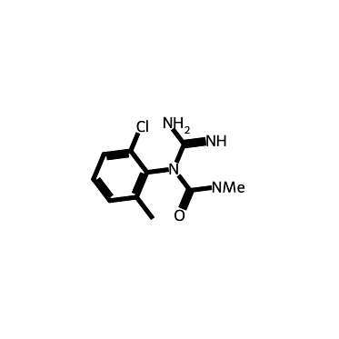 CNC(=O)N(C(=N)N)c1c(C)cccc1Cl